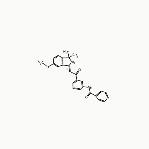 COc1ccc2c(c1)/C(=C/C(=O)c1cccc(NC(=O)c3ccncc3)c1)NC2(C)C